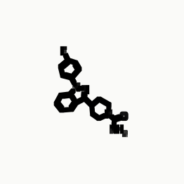 NC(=O)N1CCC(c2nn(-c3ccc(F)cc3)c3ccccc23)CC1